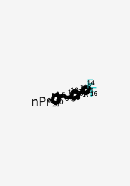 CCCC1CCC(CCc2ccc(C3=CC(F)C(F)=C3)cc2)CC1